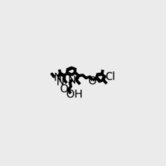 CCn1nc(C)c(C2=C3C(CC=C2)C(CCCOc2cc(C)c(Cl)c(C)c2)=C(C)N3CCC(=O)O)c1C